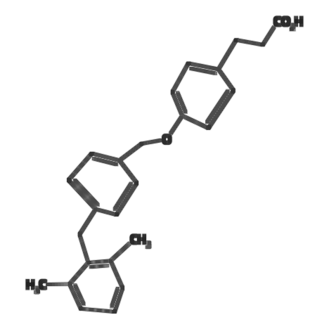 Cc1cccc(C)c1Cc1ccc(COc2ccc(CCC(=O)O)cc2)cc1